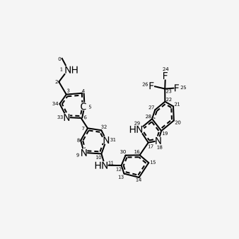 CNCc1ccc(-c2cnc(Nc3cccc(-c4nc5ccc(C(F)(F)F)cc5[nH]4)c3)nc2)nc1